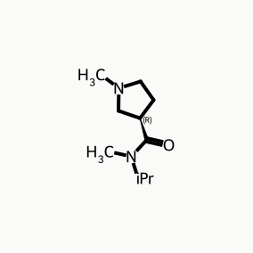 CC(C)N(C)C(=O)[C@@H]1CCN(C)C1